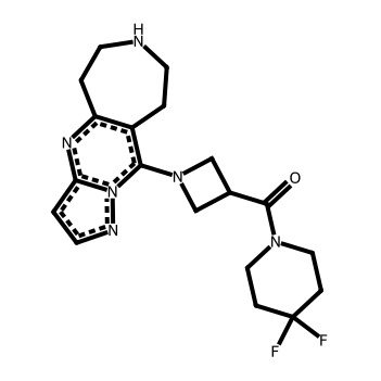 O=C(C1CN(c2c3c(nc4ccnn24)CCNCC3)C1)N1CCC(F)(F)CC1